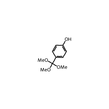 COC(OC)(OC)c1ccc(O)cc1